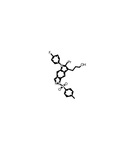 Cc1ccc(S(=O)(=O)n2ncc3cc4c(cc32)c(CCCO)c(C(C)C)n4-c2ccc(F)cc2)cc1